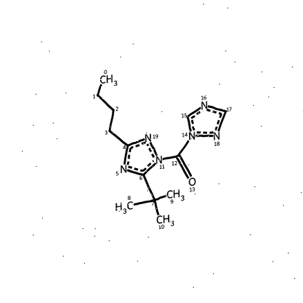 CCCCc1nc(C(C)(C)C)n(C(=O)n2cncn2)n1